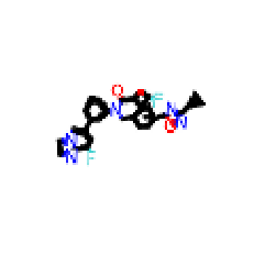 O=C(N(CC12CCC(c3nc(C4CC4)no3)(CC1)CC2)c1cccc(-c2cc(F)c3nccn3c2)c1)C12CC(F)(C1)C2